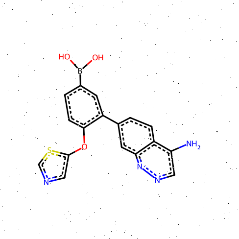 Nc1cnnc2cc(-c3cc(B(O)O)ccc3Oc3cncs3)ccc12